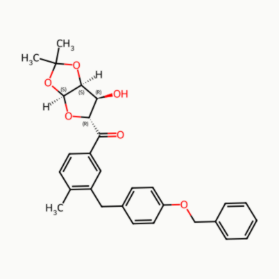 Cc1ccc(C(=O)[C@@H]2O[C@H]3OC(C)(C)O[C@H]3[C@H]2O)cc1Cc1ccc(OCc2ccccc2)cc1